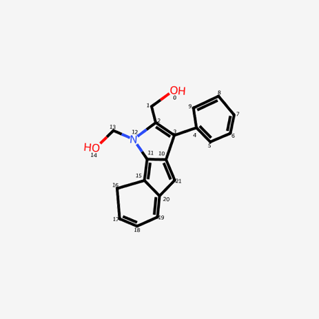 OCc1c(-c2ccccc2)c2c(n1CO)=C1CC=CC=C1C=2